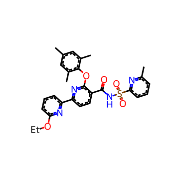 CCOc1cccc(-c2ccc(C(=O)NS(=O)(=O)c3cccc(C)n3)c(Oc3c(C)cc(C)cc3C)n2)n1